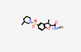 CC1CCCN(S(=O)(=O)c2ccc3c(c2)C(C)C(C(=O)NC(C)C)O3)C1